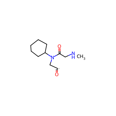 CNCC(=O)N(C[C]=O)C1CCCCC1